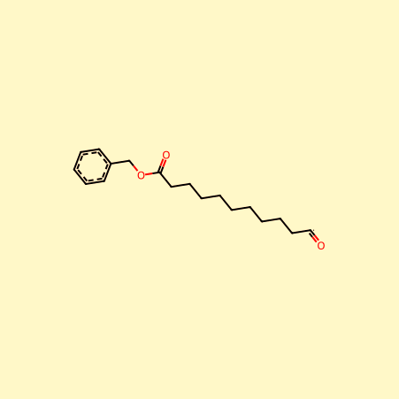 O=[C]CCCCCCCCCC(=O)OCc1ccccc1